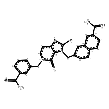 CC(C)c1nc2ccn(Cc3cccc(C(=N)N)c3)c(=O)c2n1Cc1ccc2ccc(C(=N)N)cc2c1